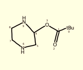 CC(C)(C)C(=O)OC1CNCCN1